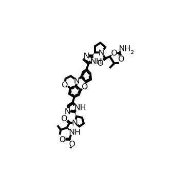 COC(=O)N[C@H](C(=O)N1CCC[C@H]1c1ncc(-c2cc3c4c(c2)Oc2ccc(-c5cnc([C@@H]6CCCN6C(=O)[C@@H](OC(N)=O)C(C)C)[nH]5)cc2N4CCO3)[nH]1)C(C)C